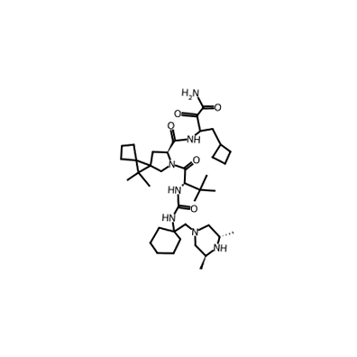 C[C@H]1CN(CC2(NC(=O)N[C@H](C(=O)N3CC4(C[C@H]3C(=O)NC(CC3CCC3)C(=O)C(N)=O)C(C)(C)C43CCC3)C(C)(C)C)CCCCC2)C[C@H](C)N1